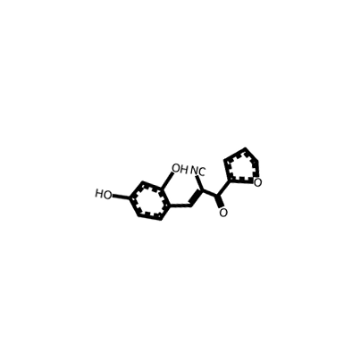 N#CC(=Cc1ccc(O)cc1O)C(=O)c1ccco1